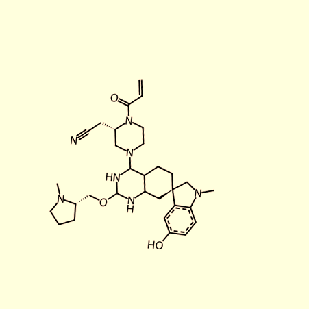 C=CC(=O)N1CCN(C2NC(OC[C@@H]3CCCN3C)NC3C[C@@]4(CCC32)CN(C)c2ccc(O)cc24)C[C@@H]1CC#N